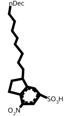 CCCCCCCCCCCCCCCCCCC1CCc2c1cc(S(=O)(=O)O)cc2[N+](=O)[O-]